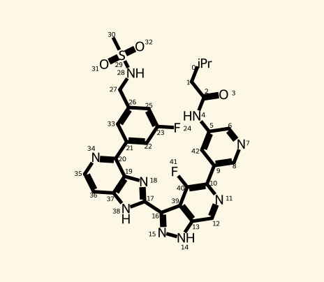 CC(C)CC(=O)Nc1cncc(-c2ncc3[nH]nc(-c4nc5c(-c6cc(F)cc(CNS(C)(=O)=O)c6)nccc5[nH]4)c3c2F)c1